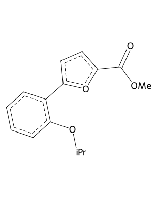 COC(=O)c1ccc(-c2ccccc2OC(C)C)o1